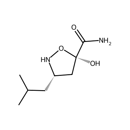 CC(C)C[C@H]1C[C@](O)(C(N)=O)ON1